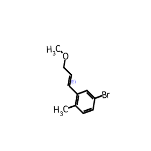 COC/C=C/c1cc(Br)ccc1C